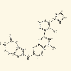 Cc1c(-c2cc3cc(Nc4cc5n(n4)CC(=O)N(C)CC5)ncc3c(N)n2)cncc1-c1cnc[nH]1